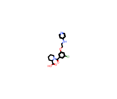 O=C(O)C1CCCCN1C(=O)c1cc(Cl)cc(OCCNc2ccncc2)c1